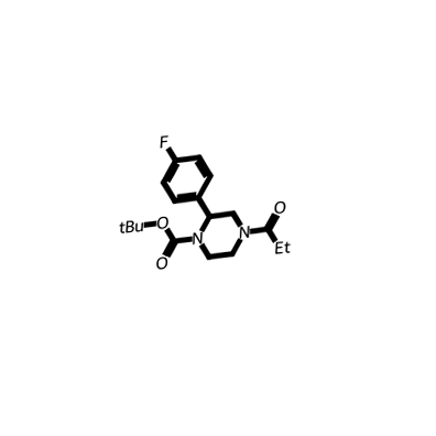 CCC(=O)N1CCN(C(=O)OC(C)(C)C)C(c2ccc(F)cc2)C1